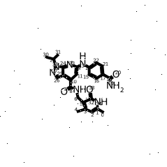 Cc1cc(C)c(CNC(=O)c2cc(Nc3ccc(C(N)=O)cc3)nc3c2cnn3C(C)C)c(=O)[nH]1